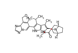 CNC(=O)CN1[C@@H]2CC[C@H]1C[C@H](c1sc3[nH]c(-c4cn5ncnc5c5c4COC5)c(C(C)C)c3c1C)C2